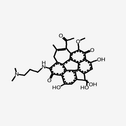 COc1c2c3c4c(c(NCCCN(C)C)c(=O)c5c(O)cc(CO)c(c6c(CO)cc(O)c(c1=O)c63)c54)CC(C)=C2C(C)=O